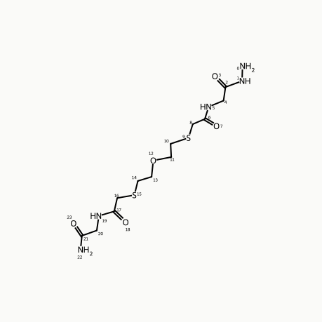 NNC(=O)CNC(=O)CSCCOCCSCC(=O)NCC(N)=O